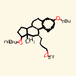 CCCCOc1ccc2c(c1)CCC1C2[C@@H](CCCOCC)CC2(C)C(OCCCC)CCC12